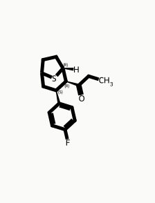 CCC(=O)[C@H]1[C@@H](c2ccc(F)cc2)CC2CC[C@H]1S2